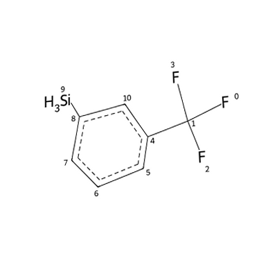 FC(F)(F)c1cccc([SiH3])c1